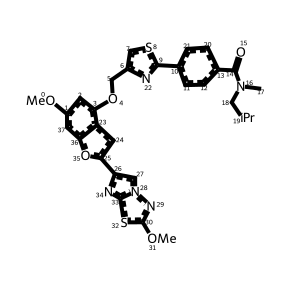 COc1cc(OCc2csc(-c3ccc(C(=O)N(C)CC(C)C)cc3)n2)c2cc(-c3cn4nc(OC)sc4n3)oc2c1